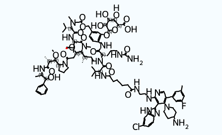 CC[C@H](C)[C@@H]([C@@H](CC(=O)N1CCC[C@H]1[C@H](OC)[C@@H](C)C(=O)N[C@H](C)[C@@H](O)c1ccccc1)OC)N(C)C(=O)[C@@H](NC(=O)[C@H](C(C)C)N(C)C(=O)OCc1ccc(NC(=O)[C@H](CCCNC(N)=O)NC(=O)[C@@H](NC(=O)CCCCC(=O)NCCNc2ncc(-c3cc(C)cc(F)c3)c(N3CCC(N)CC3)c2-c2nc3ccc(Cl)cc3[nH]2)C(C)C)c(O[C@@H]2O[C@H](C(=O)O)[C@@H](O)[C@H](O)[C@H]2O)c1)C(C)C